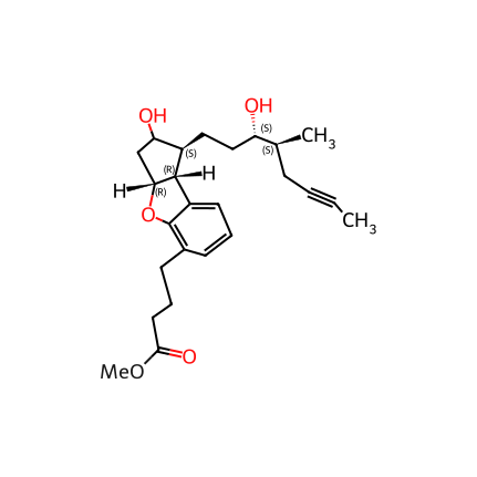 CC#CC[C@H](C)[C@@H](O)CC[C@@H]1C(O)C[C@H]2Oc3c(CCCC(=O)OC)cccc3[C@@H]12